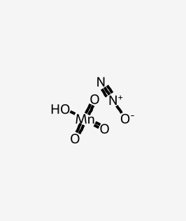 N#[N+][O-].[O]=[Mn](=[O])(=[O])[OH]